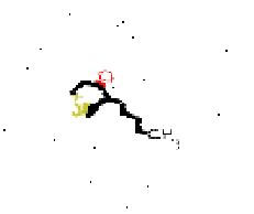 CCCCCC1CSCCC1=O